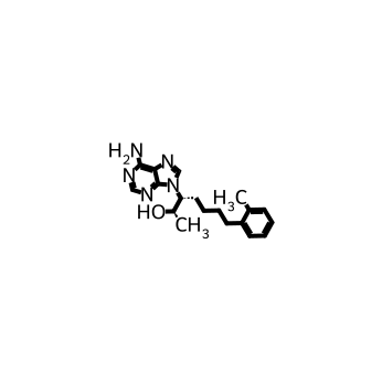 Cc1ccccc1CCCC[C@H]([C@H](C)O)n1cnc2c(N)ncnc21